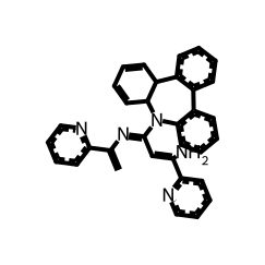 C=C(/N=C(\C=C(/N)c1ccccn1)N1c2ccccc2-c2ccccc2C2C=CC=CC21)c1ccccn1